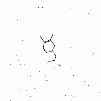 CC1=C(C)CN(C[C@@H](N)C(C)C)CC1